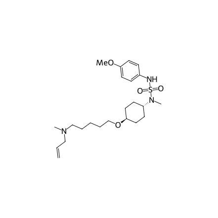 C=CCN(C)CCCCCO[C@H]1CC[C@H](N(C)S(=O)(=O)Nc2ccc(OC)cc2)CC1